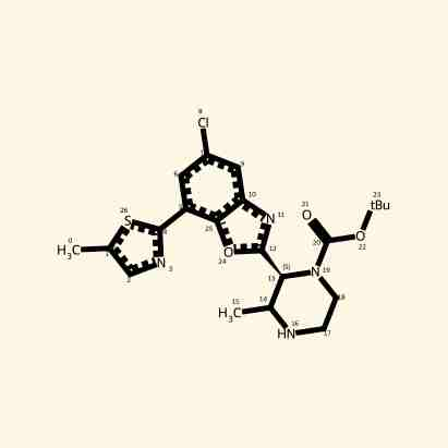 Cc1cnc(-c2cc(Cl)cc3nc([C@@H]4C(C)NCCN4C(=O)OC(C)(C)C)oc23)s1